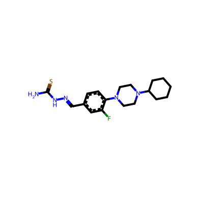 NC(=S)N/N=C/c1ccc(N2CCN(C3CCCCC3)CC2)c(F)c1